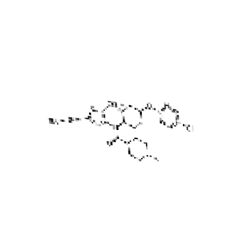 CC1CCC(C(=O)N(c2cc(C#CC(C)(C)C)sc2C(=O)O)C2CCC(Oc3ccc(Cl)nn3)CC2)CC1